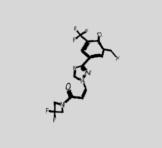 O=C(/C=C\n1cnc(-c2cc(CF)c(Cl)c(C(F)(F)F)c2)n1)N1CC(F)(F)C1